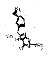 Cl.NCc1cccc(Cc2nc3nc(N)[nH]c(=O)c3[nH]2)c1